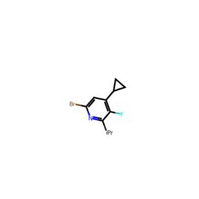 CC(C)c1nc(Br)cc(C2CC2)c1F